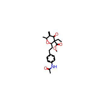 C=C1C(=O)C(CC)(C(=O)OC)C(CCc2ccc(NC(C)=O)cc2)OC1C